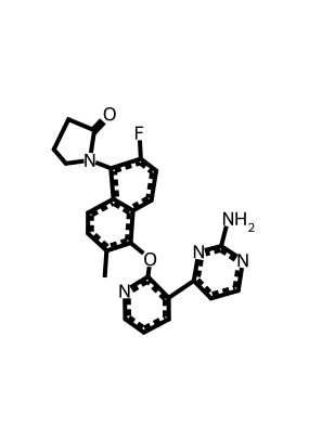 Cc1ccc2c(N3CCCC3=O)c(F)ccc2c1Oc1ncccc1-c1ccnc(N)n1